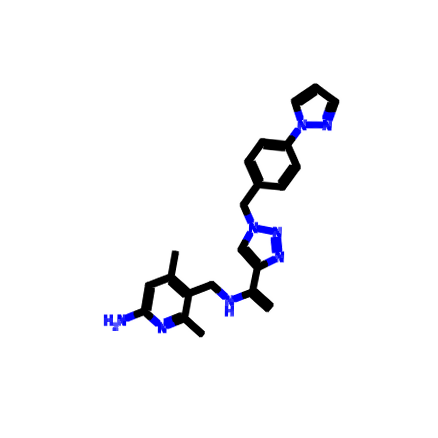 C=C(NCc1c(C)cc(N)nc1C)c1cn(Cc2ccc(-n3cccn3)cc2)nn1